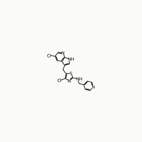 Clc1cnc2[nH]cc(Cc3sc(NCc4ccncc4)nc3Cl)c2c1